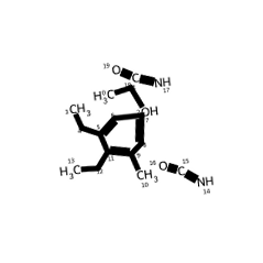 CCO.CCc1cccc(C)c1CC.N=C=O.N=C=O